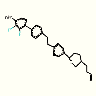 C=CCCC1CCC(c2ccc(CCc3ccc(-c4ccc(CCC)c(F)c4F)cc3)cc2)CC1